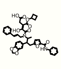 CC(C(Cc1ccc(C(=O)Nc2ccccc2)o1)c1ccc2c(c1)OCO2)N(CC=Cc1ccccc1)C(=O)C(O)=C(CC(=O)O)C(=O)OC1CCC1